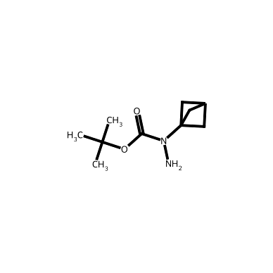 CC(C)(C)OC(=O)N(N)C12CC(C1)C2